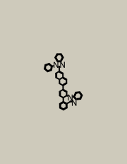 C1=CC2c3ccccc3-c3nc4ccccc4n3C2C=C1C1=CC=C2C=C(c3nc4ccccc4n3-c3ccccc3)C=CC2C1